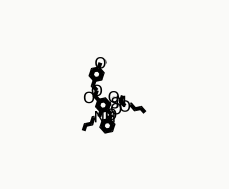 CCCCNc1cc(C(=O)OCc2ccc(OC)cc2)cc(S(=O)(=O)N(C)OCCCC)c1Oc1ccccc1